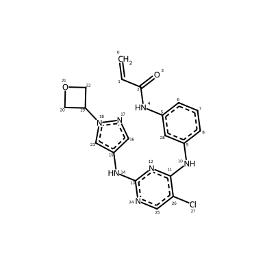 C=CC(=O)Nc1cccc(Nc2nc(Nc3cnn(C4COC4)c3)ncc2Cl)c1